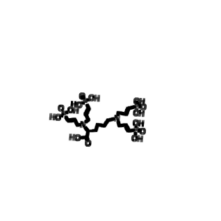 O=C(O)[C@H](CCCCN(CC=CP(=O)(O)O)CC=CP(=O)(O)O)N(CC=CP(=O)(O)O)CC=CP(=O)(O)O